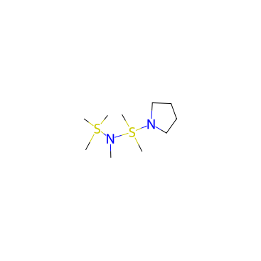 CN(S(C)(C)C)S(C)(C)N1CCCC1